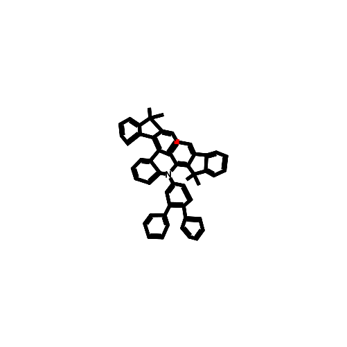 CC1(C)c2ccccc2-c2c(-c3ccccc3N(c3ccc(-c4ccccc4)c(-c4ccccc4)c3)c3cccc4c3C(C)(C)c3ccccc3-4)cccc21